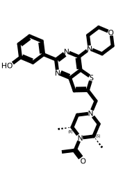 CC(=O)N1[C@H](C)CN(Cc2cc3nc(-c4cccc(O)c4)nc(N4CCOCC4)c3s2)C[C@@H]1C